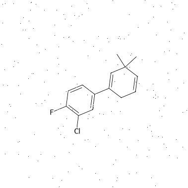 CC1(C)C=CCC(c2ccc(F)c(Cl)c2)=C1